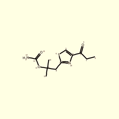 CCC(=O)c1csc(CC(C)(C)OC(N)=O)n1